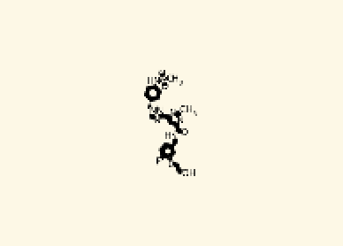 Cc1nc(C(=O)NCc2ccc(F)c(OCCO)c2)cc(-c2ncn(C[C@H]3CC[C@H](NS(C)(=O)=O)CC3)n2)n1